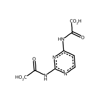 O=C(O)C(=O)Nc1ccnc(NC(=O)C(=O)O)n1